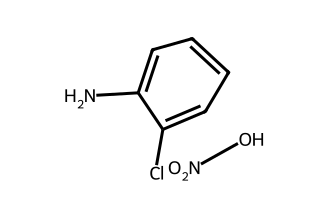 Nc1ccccc1Cl.O=[N+]([O-])O